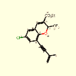 C=C(C)C#Cc1cc(Cl)cc2c1OC(C(F)(F)F)C(C(=O)OCC)=C2